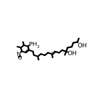 C/C(=C\CCC(C)(O)CCCC(C)O)CCCC(C)CCC1=CC(N=O)C(C)C(C)C1P